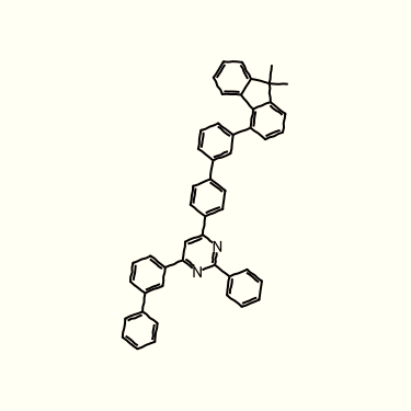 CC1(C)c2ccccc2-c2c(-c3cccc(-c4ccc(-c5cc(-c6cccc(-c7ccccc7)c6)nc(-c6ccccc6)n5)cc4)c3)cccc21